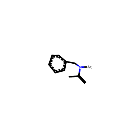 C=C(C)N(Cc1ccccc1)C(C)=O